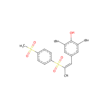 CC(C)(C)c1cc(/C=C(/C#N)S(=O)(=O)c2ccc(S(C)(=O)=O)cc2)cc(C(C)(C)C)c1O